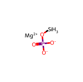 O=P([O-])([O-])O[SiH3].[Mg+2]